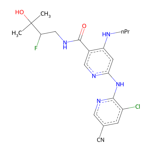 CCCNc1cc(Nc2ncc(C#N)cc2Cl)ncc1C(=O)NCC(F)C(C)(C)O